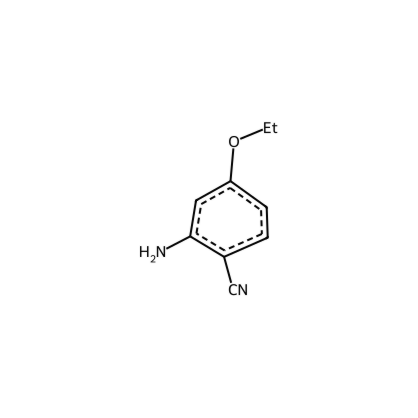 CCOc1ccc(C#N)c(N)c1